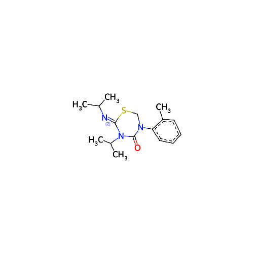 Cc1ccccc1N1CS/C(=N\C(C)C)N(C(C)C)C1=O